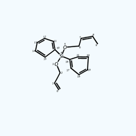 C=CCO[Si](OC/C=C\C)(c1ccccc1)c1ccccc1